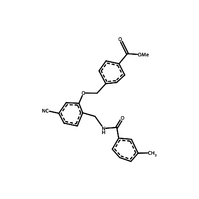 COC(=O)c1ccc(COc2cc(C#N)ccc2CNC(=O)c2cccc(C)c2)cc1